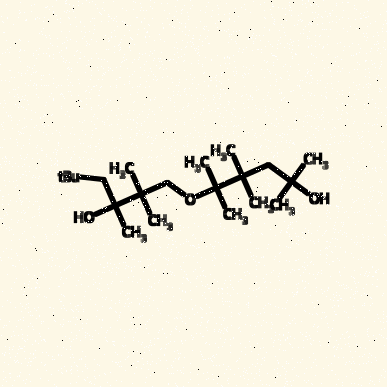 CC(C)(C)CC(C)(O)C(C)(C)COC(C)(C)C(C)(C)CC(C)(C)O